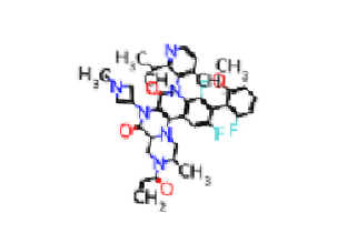 C=CC(=O)N1CC2C(=O)N(C3CN(C)C3)c3c(c4cc(F)c(-c5c(F)cccc5OC)c(F)c4n(-c4c(C)ccnc4C(C)C)c3=O)N2CC1C